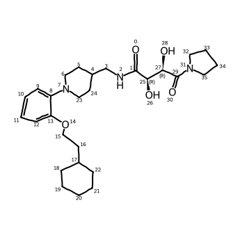 O=C(NCC1CCN(c2ccccc2OCCC2CCCCC2)CC1)[C@H](O)[C@@H](O)C(=O)N1CCCC1